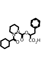 O=C(O)C(Cc1ccccc1)OC(=O)N1CCCCN1C(=O)C1CCCCC1